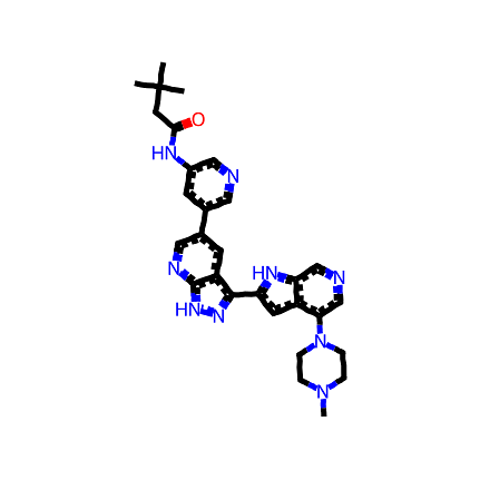 CN1CCN(c2cncc3[nH]c(-c4n[nH]c5ncc(-c6cncc(NC(=O)CC(C)(C)C)c6)cc45)cc23)CC1